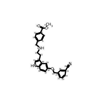 COC(=O)c1ccc(CNCCc2c[nH]c3ccc(OCc4cccc(C#N)c4)cc23)cc1